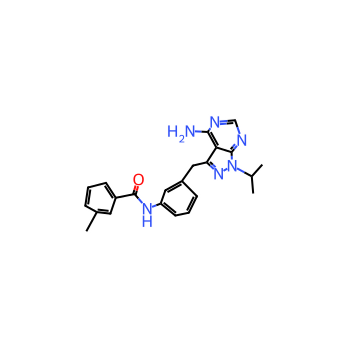 Cc1cccc(C(=O)Nc2cccc(Cc3nn(C(C)C)c4ncnc(N)c34)c2)c1